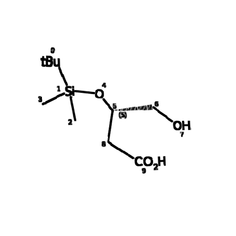 CC(C)(C)[Si](C)(C)O[C@H](CO)CC(=O)O